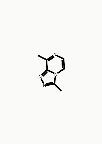 Cc1nccn2c(C)nnc12